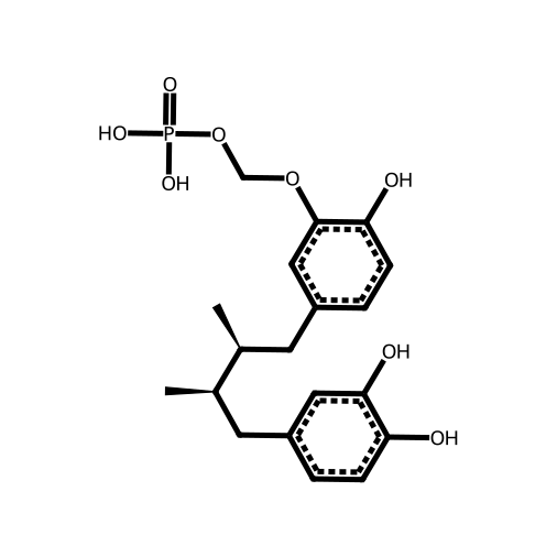 C[C@H](Cc1ccc(O)c(O)c1)[C@@H](C)Cc1ccc(O)c(OCOP(=O)(O)O)c1